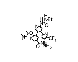 CCNC(=O)Nc1cc(-c2nc(C(F)(F)F)cs2)c(-c2cc(C(=O)NN)cnc2OC(C)CN(C)C)cn1